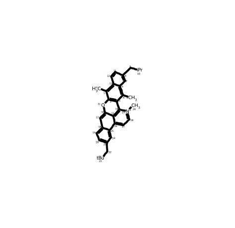 Cc1c2c(c(C)c3cc(CC(C)C)ccc13)-c1c3c(cc4ccc(CC(C)(C)C)cc4c3cc[n+]1C)O2